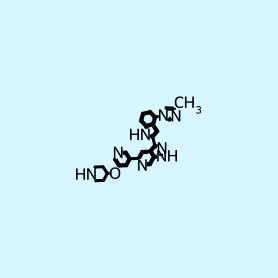 Cc1cn(-c2cccc3[nH]c(-c4n[nH]c5cnc(-c6cncc(OC7CCNCC7)c6)cc45)cc23)cn1